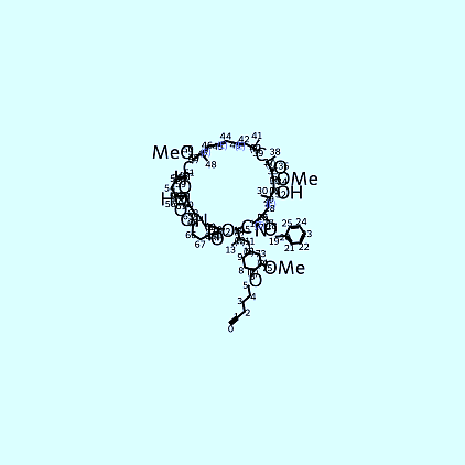 C#CCCCCO[C@@H]1CC[C@@H](C[C@@H](C)[C@@H]2C/C(=N/OCc3ccccc3)[C@H](C)/C=C(\C)[C@@H](O)[C@@H](OC)C(=O)[C@H](C)C[C@H](C)/C=C/C=C/C=C(\C)[C@@H](OC)C[C@@H]3CC[C@@H](C)[C@@](O)(O3)C(=O)C(=O)N3CCCC[C@H]3C(=O)O2)C[C@H]1OC